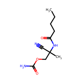 CCCCC(=O)NC(C)(C#N)COC(N)=O